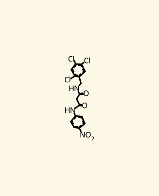 O=C(CC(=O)Nc1ccc([N+](=O)[O-])cc1)NCc1cc(Cl)c(Cl)cc1Cl